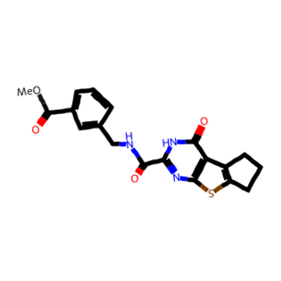 COC(=O)c1cccc(CNC(=O)c2nc3sc4c(c3c(=O)[nH]2)CCC4)c1